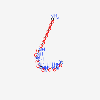 Cn1cc(NC(=O)c2nc(NC(=O)CCNC(=O)c3cc(NC(=O)c4nccn4C)cn3C)cn2C)cc1C(=O)NCCC(=O)Nc1cn(C)c(C(=O)NCCC(=O)NCCOCCOCCOCCOCCOCCOCCOCCOc2ccc(N)cc2)n1